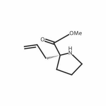 C=CC[C@@]1(C(=O)OC)CCCN1